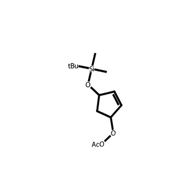 CC(=O)OOC1C=CC(O[Si](C)(C)C(C)(C)C)C1